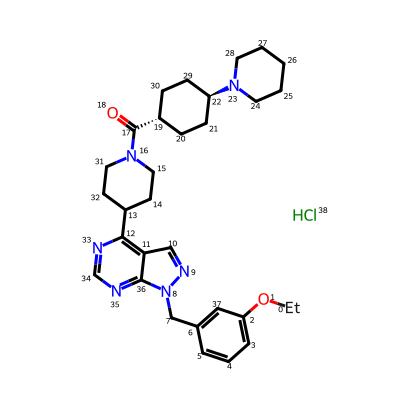 CCOc1cccc(Cn2ncc3c(C4CCN(C(=O)[C@H]5CC[C@H](N6CCCCC6)CC5)CC4)ncnc32)c1.Cl